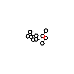 c1ccc(-c2ccc(N(c3ccccc3-c3ccccc3)c3cccc4c5c(ccc34)Sc3ccccc3C53c4ccccc4-c4ccccc43)cc2)cc1